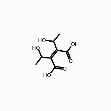 CC(O)/C(C(=O)O)=C(/C(=O)O)C(C)O